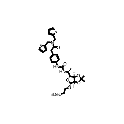 CCCCCCCCCCCCO[C@H]1O[C@H]([C@H](C)NC(=O)Nc2ccc(CC(=O)N(Cc3cccs3)Cc3cccs3)cc2)[C@@H]2OC(C)(C)O[C@H]12